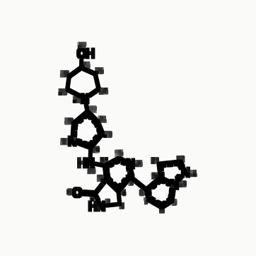 O=C1NCc2c(-c3cccn4nccc34)ncc(Nc3ccc(N4CCC(O)CC4)cn3)c21